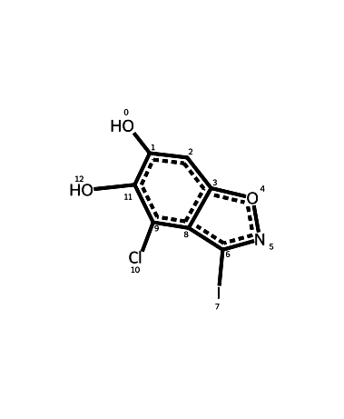 Oc1cc2onc(I)c2c(Cl)c1O